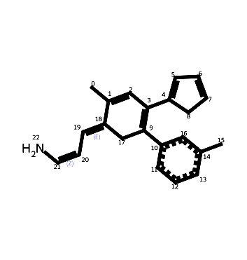 CC1=CC(C2=CC=CC2)=C(c2cccc(C)c2)C/C1=C\C=C/N